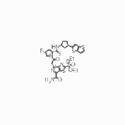 CCOP(=O)(OCC)c1nc2c(s1)c(C(N)=O)nn2CC(=O)N1C[C@H](F)C[C@H]1C(=S)NC1CCC(c2cc3sccc3s2)C1